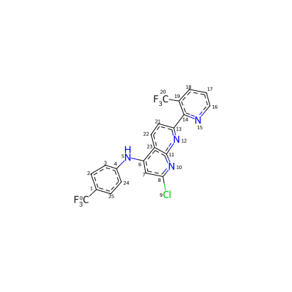 FC(F)(F)c1ccc(Nc2cc(Cl)nc3nc(-c4ncccc4C(F)(F)F)ccc23)cc1